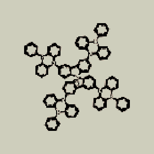 O=S12(c3ccc(N4c5ccccc5B(c5ccccc5)c5ccccc54)cc3-c3cc(N4c5ccccc5B(c5ccccc5)c5ccccc54)ccc31)c1ccc(N3c4ccccc4B(c4ccccc4)c4ccccc43)cc1-c1cc(N3c4ccccc4B(c4ccccc4)c4ccccc43)ccc12